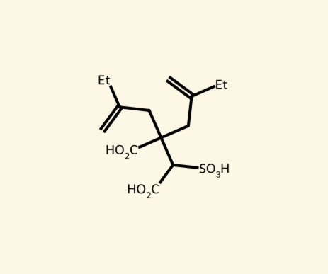 C=C(CC)CC(CC(=C)CC)(C(=O)O)C(C(=O)O)S(=O)(=O)O